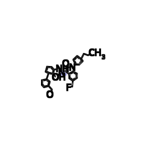 CCCc1ccc(N2C(=O)/C(=N\Nc3cccc(-c4cccc(C=O)c4)c3O)c3cc(CF)ccc32)cc1